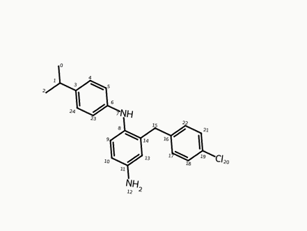 CC(C)c1ccc(Nc2ccc(N)cc2Cc2ccc(Cl)cc2)cc1